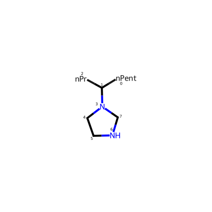 CCCCCC(CCC)N1CCNC1